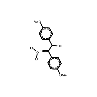 CCOCC.COc1ccc(C(=O)C(O)c2ccc(OC)cc2)cc1